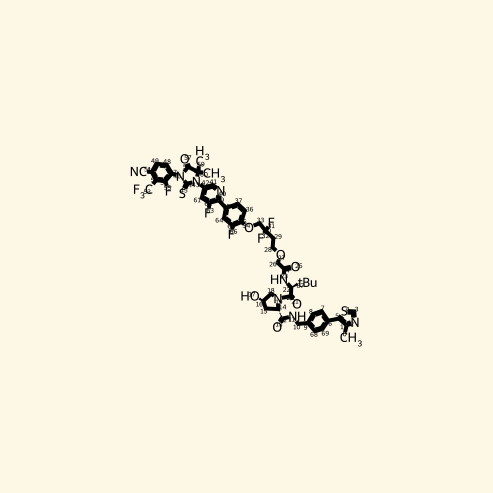 Cc1ncsc1-c1ccc(CNC(=O)[C@@H]2C[C@@H](O)CN2C(=O)[C@@H](NC(=O)COCCC(F)(F)COc2ccc(-c3ncc(N4C(=S)N(c5ccc(C#N)c(C(F)(F)F)c5F)C(=O)C4(C)C)cc3F)cc2F)C(C)(C)C)cc1